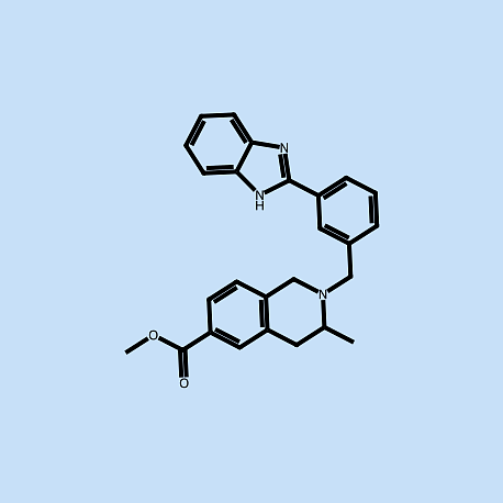 COC(=O)c1ccc2c(c1)CC(C)N(Cc1cccc(-c3nc4ccccc4[nH]3)c1)C2